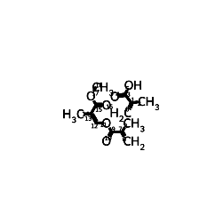 C=C(C)C(=O)O.C=C(C)C(=O)OC=C(C)C(=O)OC